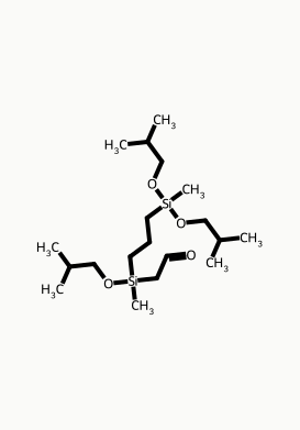 CC(C)CO[Si](C)(CC=O)CCC[Si](C)(OCC(C)C)OCC(C)C